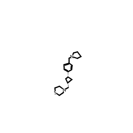 c1cc([C@H]2C[C@@H](CN3CCSCC3)C2)ccc1CN1CCCC1